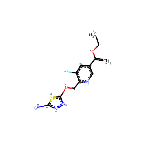 C=C(OCC)c1cnc(COc2nnc(N)s2)c(F)c1